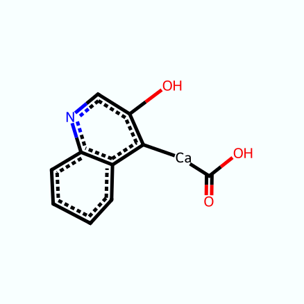 O=[C](O)[Ca][c]1c(O)cnc2ccccc12